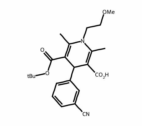 COCCN1C(C)=C(C(=O)O)C(c2cccc(C#N)c2)C(C(=O)OC(C)(C)C)=C1C